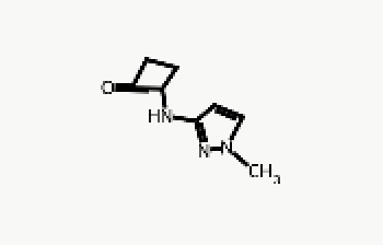 Cn1ccc(NC2CCC2=O)n1